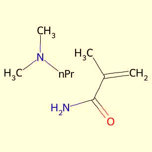 C=C(C)C(N)=O.CCCN(C)C